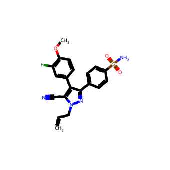 C=CCn1nc(-c2ccc(S(N)(=O)=O)cc2)c(-c2ccc(OC)c(F)c2)c1C#N